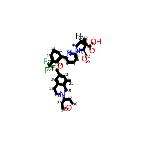 COC[C@H]1N(c2cccc(-c3cccc(C(F)(F)F)c3OCc3cc(C)c4c(c3)CCN(C3CCOCC3)C4)n2)C[C@@H]2C[C@@]21C(=O)O